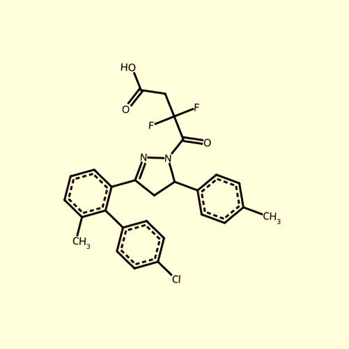 Cc1ccc(C2CC(c3cccc(C)c3-c3ccc(Cl)cc3)=NN2C(=O)C(F)(F)CC(=O)O)cc1